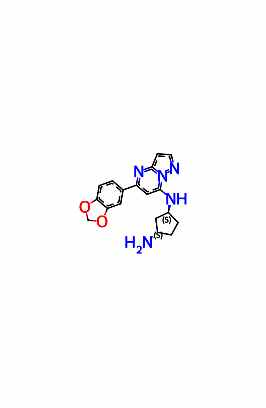 N[C@H]1CC[C@H](Nc2cc(-c3ccc4c(c3)OCO4)nc3ccnn23)C1